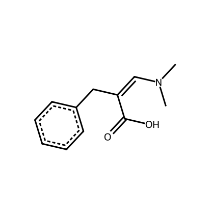 CN(C)C=C(Cc1ccccc1)C(=O)O